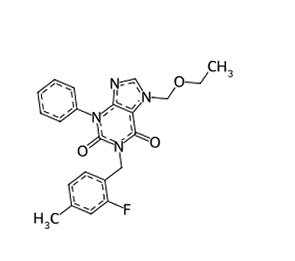 CCOCn1cnc2c1c(=O)n(Cc1ccc(C)cc1F)c(=O)n2-c1ccccc1